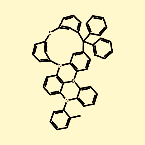 Cc1ccccc1N1c2ccccc2B2c3ccc4cc3N(c3cccc(c3)Sc3cccc(c3)C4(c3ccccc3)c3ccccc3)c3cccc1c32